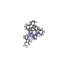 CC1(C)c2ccccc2-c2cccc(Nc3ccc4c5c3-c3ccccc3-n3c6ccccc6c6ccc(c-5c63)C43c4ccccc4-c4ccccc43)c21